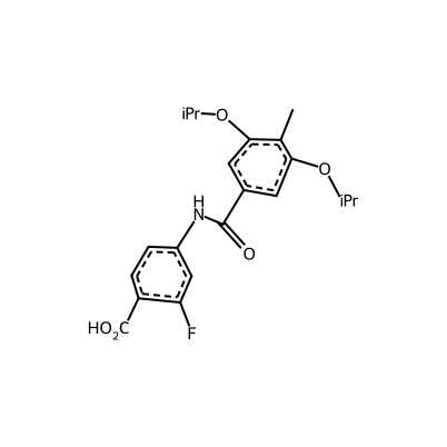 Cc1c(OC(C)C)cc(C(=O)Nc2ccc(C(=O)O)c(F)c2)cc1OC(C)C